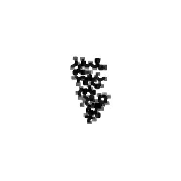 CC[C@H](C)[C@@H]([C@@H](CC(=O)N1CCC[C@H]1[C@H](OC)[C@@H](C)C(=O)N[C@@H](Cc1ccccc1)C(=O)OC(C)(C)C)OC)N(C)C(=O)[C@@H](NC(=O)[C@H](C(C)C)N(C)CCCC(=O)O)C(C)C